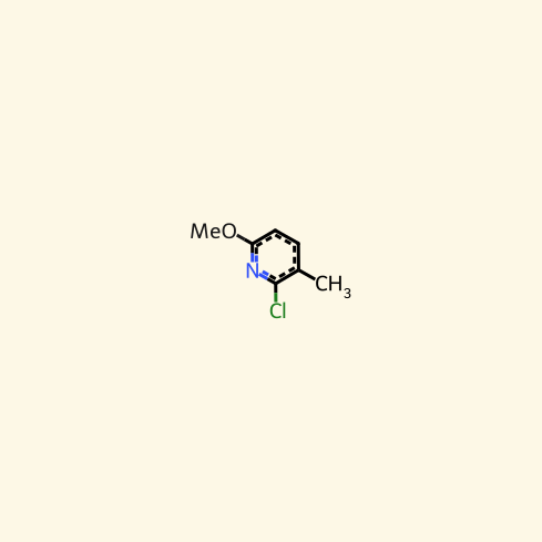 COc1ccc(C)c(Cl)n1